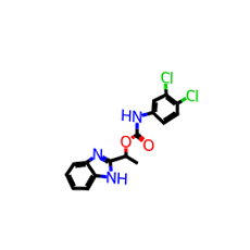 CC(OC(=O)Nc1ccc(Cl)c(Cl)c1)c1nc2ccccc2[nH]1